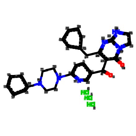 Cl.Cl.Cl.O=C(c1ccc(N2CCN(c3ccccc3)CC2)nc1)c1c(Cc2ccccc2)nc2[nH]ccn2c1=O